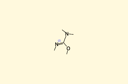 C/N=C(\OC)N(C)C